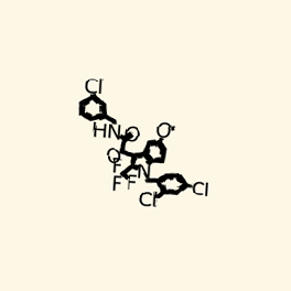 COc1ccc2c(c1)c(C(=O)C(=O)NCc1cccc(Cl)c1)c(C(F)(F)F)n2Cc1ccc(Cl)cc1Cl